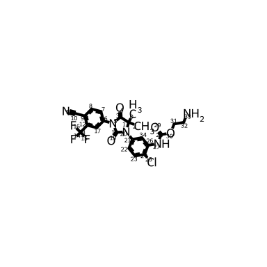 CC1(C)C(=O)N(c2ccc(C#N)c(C(F)(F)F)c2)C(=O)N1c1ccc(Cl)c(NC(=O)OCCN)c1